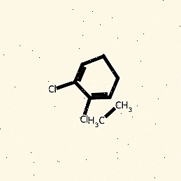 CC.ClC1=C[CH]CC=C1Cl